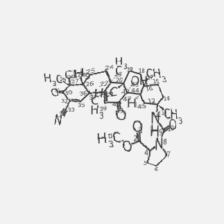 COC(=O)C1CCCN1C(=O)N[C@@]1(C)CC[C@@]2(C)CC[C@@]3(C)[C@]4(C)CC[C@H]5C(C)(C)C(=O)C(C#N)=C[C@]5(C)C4=CC(=O)[C@]3(O)[C@@H]2C1